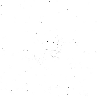 O=C(C1CCNC1)N(Cc1nc2c(oc3ccc(Br)cc32)c(=O)[nH]1)Cc1ccccc1Cl